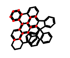 c1ccc(-c2ccccc2-c2ccccc2-c2ccccc2N(c2ccc3c(c2)C(c2ccccc2)(c2ccccc2)c2ccccc2-3)c2ccccc2-c2cccc3cccc(C4CCCCC4)c23)cc1